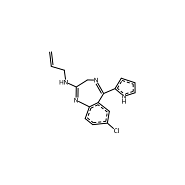 C=CCNC1=Nc2ccc(Cl)cc2C(c2ccc[nH]2)=NC1